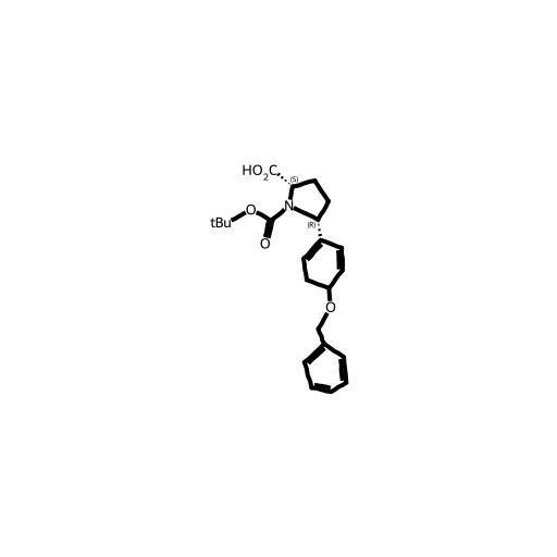 CC(C)(C)OC(=O)N1[C@@H](C2=CCC(OCc3ccccc3)C=C2)CC[C@H]1C(=O)O